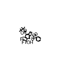 CC1(C)OB(c2cc(C(C)(O)C(F)(F)F)cc3c2ccn3S(=O)(=O)c2ccccc2)OC1(C)C